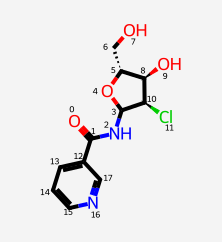 O=C(NC1O[C@H](CO)[C@@H](O)[C@H]1Cl)c1cccnc1